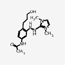 CC(=O)Nc1ccc(CCCO)c(NNc2n(C)cc[n+]2C)c1